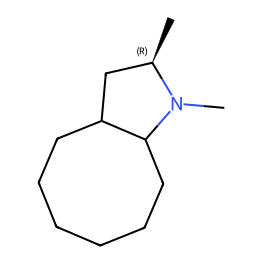 C[C@@H]1CC2CCCCCCC2N1C